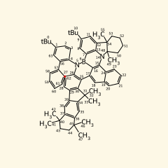 CC(C)(C)c1ccc(N2B3c4cc(C(C)(C)C)cc5c4N(c4c3c(cc3ccccc43)-c3c2ccc2c3C(C)(C)c3cc4c(cc3-2)C(C)(C)CCC4(C)C)C2(C)CCCCC52C)c(-c2ccccc2)c1